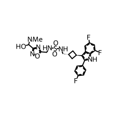 CNC(O)c1noc(CNS(=O)(=O)NC[C@H]2C[C@H](c3c(-c4ccc(F)cc4)[nH]c4c(F)cc(F)cc43)C2)n1